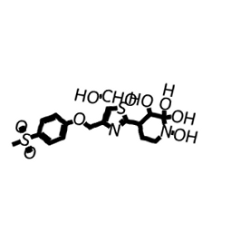 CS(=O)(=O)c1ccc(OCc2csc(C3CCN(O)C(O)(O)C3O)n2)cc1.O=CO